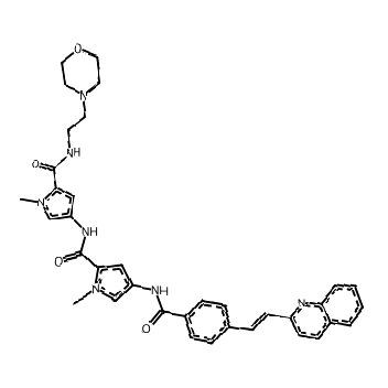 Cn1cc(NC(=O)c2cc(NC(=O)c3ccc(/C=C/c4ccc5ccccc5n4)cc3)cn2C)cc1C(=O)NCCN1CCOCC1